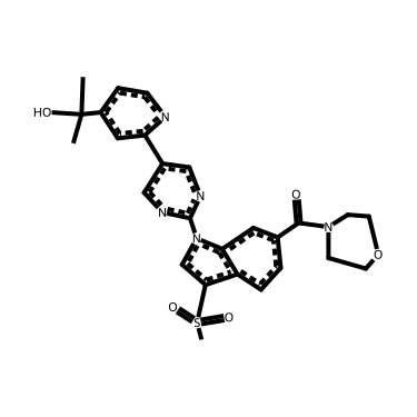 CC(C)(O)c1ccnc(-c2cnc(-n3cc(S(C)(=O)=O)c4ccc(C(=O)N5CCOCC5)cc43)nc2)c1